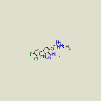 Cn1cnc(COc2ccc(-c3ccc(F)c(Cl)c3F)c3ncnc(N)c23)n1